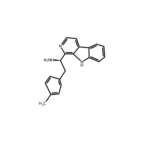 CC(=O)N[C@H](Cc1ccc(C)cc1)c1nccc2c1[nH]c1ccccc12